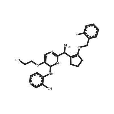 N#Cc1cnccc1NC1NC(C(N)C2=C(NCc3ccccc3F)CCC2)=NC=C1OCCO